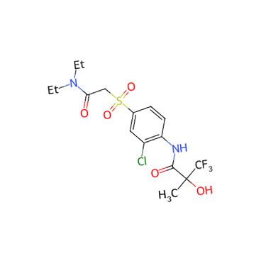 CCN(CC)C(=O)CS(=O)(=O)c1ccc(NC(=O)C(C)(O)C(F)(F)F)c(Cl)c1